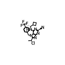 CC(Cl)c1nc2nc(C#N)nc(N[C@H](C)C3CCC3)c2n1Cc1ccc(C(F)(F)F)cc1